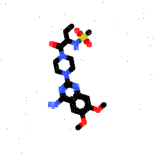 CCC(NS(C)(=O)=O)C(=O)N1CCN(c2nc(N)c3cc(OC)c(OC)cc3n2)CC1